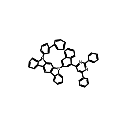 c1ccc(-c2cccc(-n3c4ccccc4c4cc5c6ccccc6n(-c6cc(-c7cc(-c8ccccc8)nc(-c8ccccc8)n7)c7ccccc7c6)c5cc43)c2)cc1